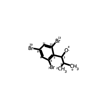 CC(C)C([O])c1c(Br)cc(Br)cc1Br